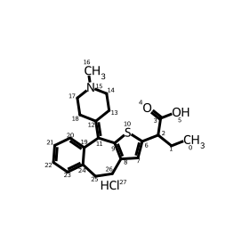 CCC(C(=O)O)c1cc2c(s1)C(=C1CCN(C)CC1)c1ccccc1CC2.Cl